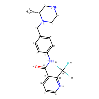 C[C@@H]1CNCCN1Cc1ccc(NC(=O)c2cccnc2C(F)(F)F)cc1